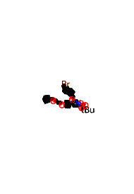 CC(C)(C)OC(=O)ON1CCC(c2ccc(OCCCOCc3ccccc3)cc2)C(OCc2ccc3cc(CBr)ccc3c2)C1